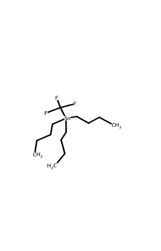 CCC[CH2][Sn]([CH2]CCC)([CH2]CCC)[C](F)(F)F